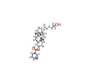 CC(CCCC(C)(C)O)[C@H]1CC[C@H]2[C@@H]3CC=C4C[C@@H](OC(=O)c5cccnc5)CC[C@]4(C)[C@H]3CC[C@]12C